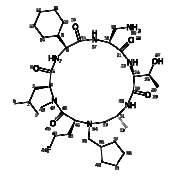 CC(C)C[C@H]1C(=O)N[C@@H](C2CCCCC2)C(=O)N[C@@H](CN)C(=O)N[C@@H]([C@H](C)O)C(=O)N[C@H](C)CN(CC2CCCC2)[C@@H](CCF)C(=O)N1C